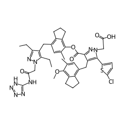 CCc1nn(CC(=O)Nc2nnn[nH]2)c(CC)c1Cc1cc(C)c(OC(=O)c2nn(CC(=O)O)c(-c3ccc(Cl)s3)c2Cc2cc(C)c(OC)c3c2CCC3)c2c1CCC2